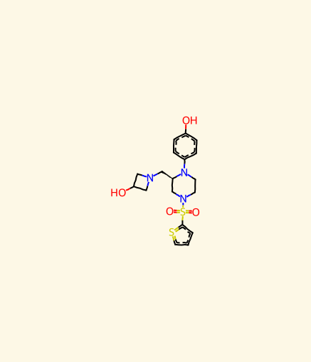 O=S(=O)(c1cccs1)N1CCN(c2ccc(O)cc2)[C@H](CN2CC(O)C2)C1